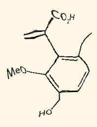 C=C(C(=O)O)c1c(C)ccc(O)c1OC